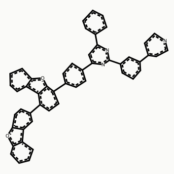 c1ccc(-c2cc(-c3ccc(-c4ccc(-c5ccc6oc7ccccc7c6c5)c5c4oc4ccccc45)cc3)nc(-c3cccc(-c4ccncc4)c3)n2)cc1